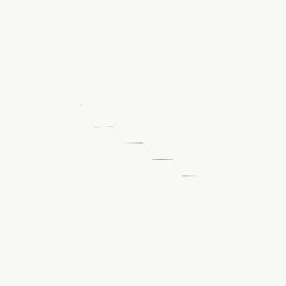 O=S(=O)(O)CCC[CH]CCCS(=O)(=O)O